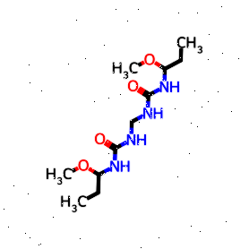 CCC(NC(=O)NCNC(=O)NC(CC)OC)OC